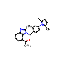 CCCCc1nc2cccc(C(=O)OC)c2n1Cc1ccc(-n2c(C)ccc2C#N)cc1